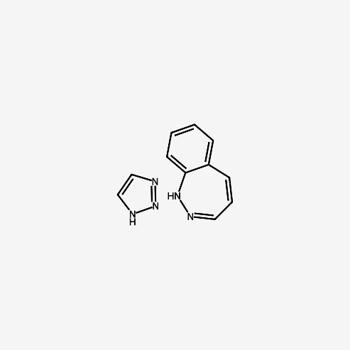 C1=Cc2ccccc2NN=C1.c1c[nH]nn1